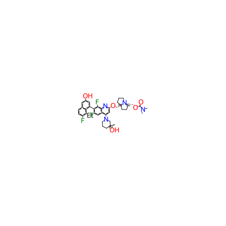 CCc1c(F)ccc2cc(O)cc(-c3c(F)cc4c(N5CCC[C@@](C)(O)C5)cc(OC[C@]56CCCN5[C@H](COC(=O)N(C)C)CC6)nc4c3F)c12